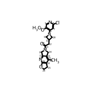 COc1cnc(Cl)cc1N1CC(CC(=O)N2Cc3nc4c(c(C)c3C2)CCO4)C1